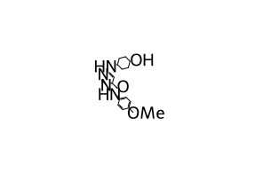 COc1ccc(NC(=O)c2cc(NC3CCC(O)CC3)ncn2)cc1